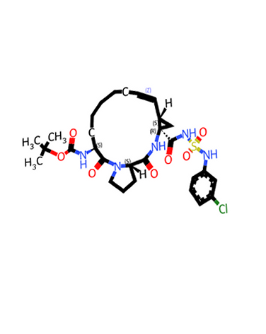 CC(C)(C)OC(=O)N[C@H]1CCCCC/C=C\[C@@H]2C[C@@]2(C(=O)NS(=O)(=O)Nc2cccc(Cl)c2)NC(=O)[C@@H]2CCCN2C1=O